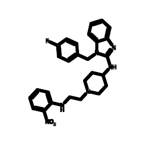 O=[N+]([O-])c1ccccc1NCCN1CCC(Nc2nc3ccccc3n2Cc2ccc(F)cc2)CC1